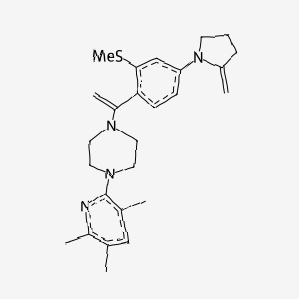 C=C(c1ccc(N2CCCC2=C)cc1SC)N1CCN(c2nc(C)c(C)cc2C)CC1